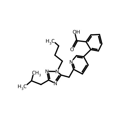 CCCCn1nc(CC(C)C)nc1Cc1ccc(-c2ccccc2C(=O)O)cn1